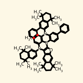 Cc1cc2c3c(c1)N(c1ccc4c(c1)C(C)(C)CCC4(C)C)c1c(oc4cc5c(cc14)C(C)(C)CCC5(C)C)B3c1ccc(-c3ccccc3)cc1N2c1cc2c(cc1-c1ccccc1)C(C)(C)CCC2(C)C